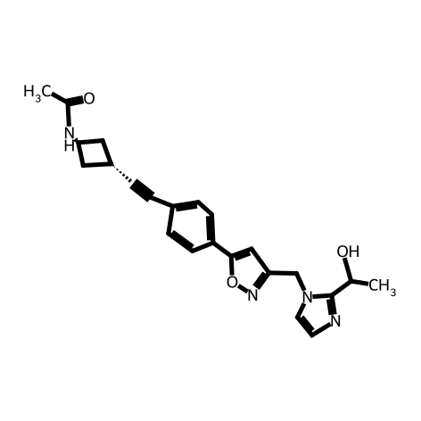 CC(=O)N[C@H]1C[C@H](C#Cc2ccc(-c3cc(Cn4ccnc4C(C)O)no3)cc2)C1